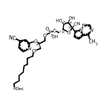 CCCCCCCCCCCCCCCCCCOC[C@H](COP(=O)(O)OC[C@H]1O[C@@](C#N)(c2ccc3c(C)ncnn23)[C@H](O)[C@@H]1O)Oc1cc(C#N)ccn1